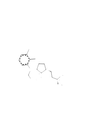 CCCCC[C@H](O)CC[C@@H]1C[C@@H](Cc2c(C)cccc2OCC(=O)O)C[C@H]1O